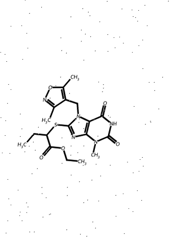 CCOC(=O)C(CC)Sc1nc2c(c(=O)[nH]c(=O)n2C)n1Cc1c(C)noc1C